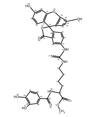 COC(=O)C(CCCCNC(=S)Nc1ccc2c(c1)C(=O)OC21c2ccc(O)cc2Oc2cc(O)ccc21)NC(=O)c1ccc(O)c(O)c1